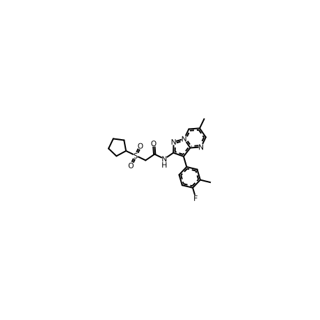 Cc1cnc2c(-c3ccc(F)c(C)c3)c(NC(=O)CS(=O)(=O)C3CCCC3)nn2c1